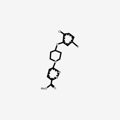 COC(=O)c1ccc(N2CCC(Oc3cc(F)ccc3Cl)CC2)nn1